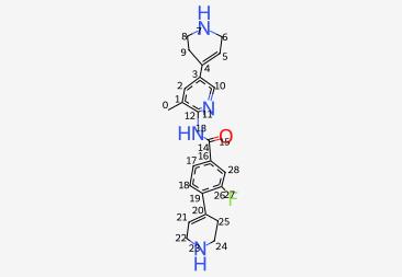 Cc1cc(C2=CCNCC2)cnc1NC(=O)c1ccc(C2=CCNCC2)c(F)c1